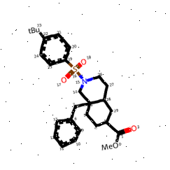 COC(=O)C1CCC2(Cc3ccccc3)CN(S(=O)(=O)c3ccc(C(C)(C)C)cc3)CCC2C1